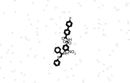 O=C(NS(=O)(=O)c1ccc(NC(CSc2ccccc2)C2CCCCC2)c([N+](=O)[O-])c1)c1ccc(-c2ccc(F)cc2)cc1